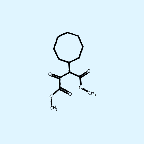 COC(=O)C(=O)C(C(=O)OC)C1CCCCCCC1